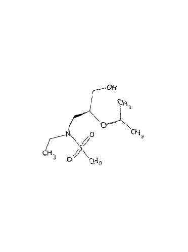 CCN(C[C@@H](CO)OC(C)C)S(C)(=O)=O